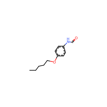 CCCCCOc1ccc(N[C]=O)cc1